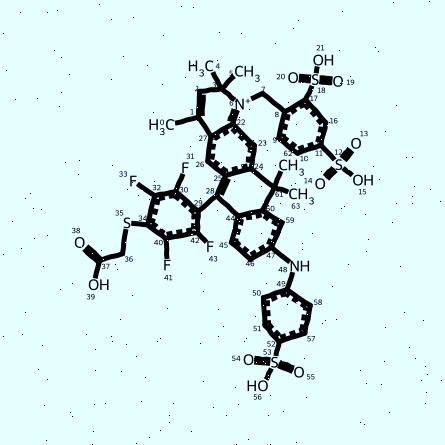 CC1=CC(C)(C)[N+](Cc2ccc(S(=O)(=O)O)cc2S(=O)(=O)O)=c2cc3c(cc21)=C(c1c(F)c(F)c(SCC(=O)O)c(F)c1F)c1ccc(Nc2ccc(S(=O)(=O)O)cc2)cc1C3(C)C